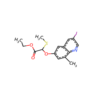 CCOC(=O)C(Oc1cc(C)c2ncc(I)cc2c1)SC